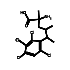 CC(CC(C)(N)C(=O)O)C(C)c1c(Cl)cc(Cl)c(Cl)c1Cl